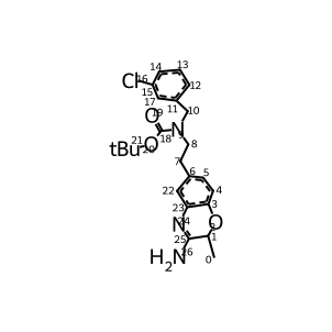 CC1Oc2ccc(CCN(Cc3cccc(Cl)c3)C(=O)OC(C)(C)C)cc2N=C1N